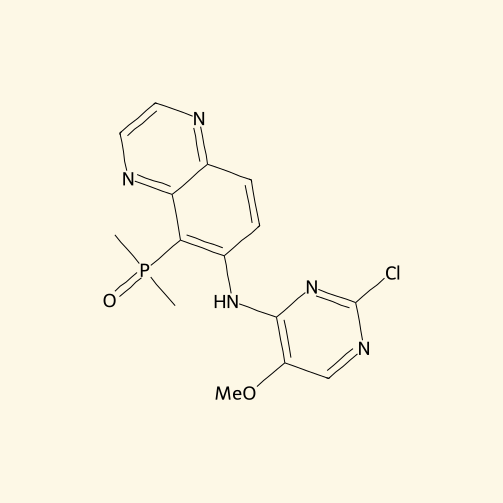 COc1cnc(Cl)nc1Nc1ccc2nccnc2c1P(C)(C)=O